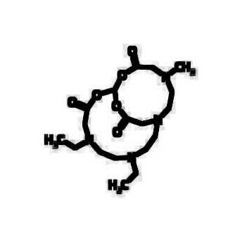 CCN1CCN(CC)CC(=O)OC2OC(=O)CN(C)CCN(CC1)CC(=O)O2